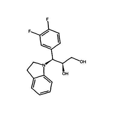 OC[C@@H](O)[C@H](c1ccc(F)c(F)c1)N1CCc2ccccc21